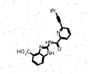 CC(C)C#Cc1cccc(C(=O)Nc2nc3c(C(=O)O)cccc3[nH]2)n1